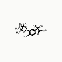 CNC(=O)C(O)(c1ccc(C)c(B2OC(C)(C)C(C)(C)O2)c1)C(F)(F)F